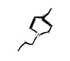 CCCN1C=CC(C)=CC1